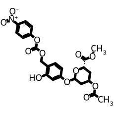 COC(=O)[C@@H]1CC(OC(C)=O)CC(Oc2ccc(COC(=O)Oc3ccc([N+](=O)[O-])cc3)c(O)c2)O1